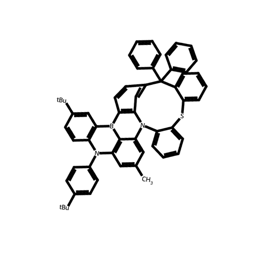 Cc1cc2c3c(c1)N1c4ccccc4Sc4ccccc4C(c4ccccc4)(c4ccccc4)c4ccc(c1c4)B3c1cc(C(C)(C)C)ccc1N2c1ccc(C(C)(C)C)cc1